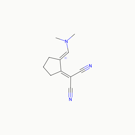 CN(C)/C=C1\CCCC1=C(C#N)C#N